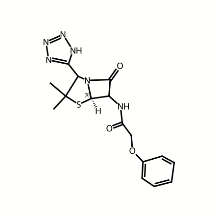 CC1(C)S[C@@H]2C(NC(=O)COc3ccccc3)C(=O)N2C1c1nnn[nH]1